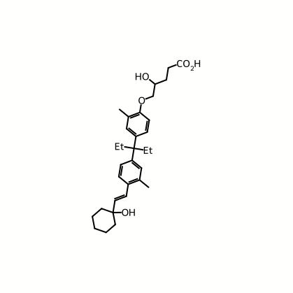 CCC(CC)(c1ccc(C=CC2(O)CCCCC2)c(C)c1)c1ccc(OCC(O)CCC(=O)O)c(C)c1